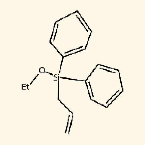 C=CC[Si](OCC)(c1ccccc1)c1ccccc1